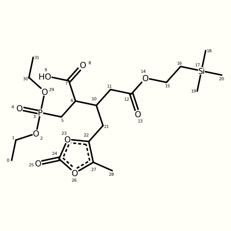 CCOP(=O)(CC(C(=O)O)C(CC(=O)OCC[Si](C)(C)C)Cc1oc(=O)oc1C)OCC